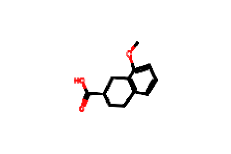 COc1cccc2c1C[C@H](C(=O)O)CC2